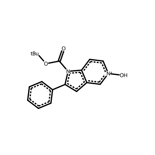 CC(C)(C)OC(=O)n1c(-c2ccccc2)cc2c[n+](O)ccc21